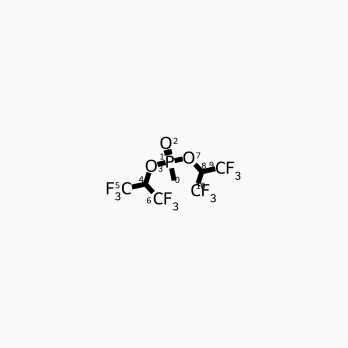 CP(=O)(OC(C(F)(F)F)C(F)(F)F)OC(C(F)(F)F)C(F)(F)F